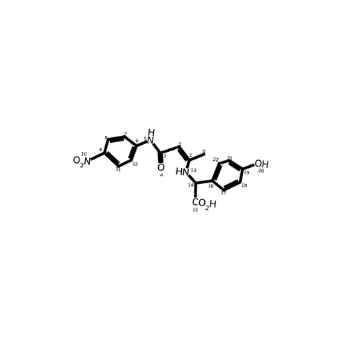 CC(=CC(=O)Nc1ccc([N+](=O)[O-])cc1)NC(C(=O)O)c1ccc(O)cc1